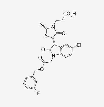 O=C(O)CCN1C(=O)/C(=C2/C(=O)N(CC(=O)OCc3cccc(F)c3)c3ccc(Cl)cc32)SC1=S